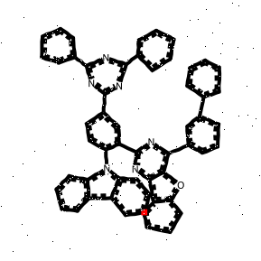 c1ccc(-c2cccc(-c3nc(-c4cc(-c5nc(-c6ccccc6)nc(-c6ccccc6)n5)ccc4-n4c5ccccc5c5ccccc54)nc4c3oc3ccccc34)c2)cc1